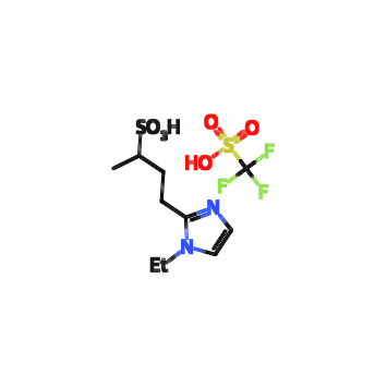 CCn1ccnc1CCC(C)S(=O)(=O)O.O=S(=O)(O)C(F)(F)F